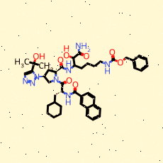 CC(C)(O)c1cnnn1[C@H]1C[C@@H](C(=O)NC(CCCCNC(=O)OCc2ccccc2)C(O)C(N)=O)N(C(=O)[C@@H](CC2CCCCC2)NC(=O)c2ccc3ccccc3c2)C1